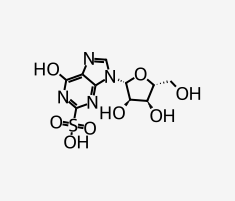 O=S(=O)(O)c1nc(O)c2ncn([C@@H]3O[C@H](CO)[C@@H](O)[C@H]3O)c2n1